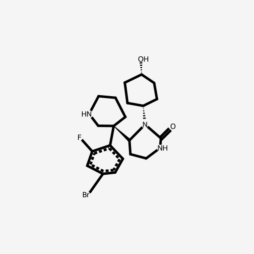 O=C1NCCC([C@]2(c3ccc(Br)cc3F)CCCNC2)N1[C@H]1CC[C@@H](O)CC1